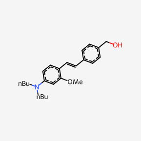 CCCCN(CCCC)c1ccc(C=Cc2ccc(CO)cc2)c(OC)c1